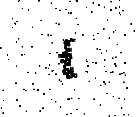 CC(=O)c1ccc(CNc2c[nH]c3c(C(=O)NCc4ccc5c(c4)NC(=O)CO5)ncnc23)s1